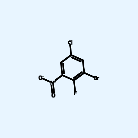 O=[N+]([O-])c1cc(Cl)cc(Br)c1F